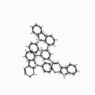 C1=Cc2c(n(-c3ccccc3)c3c(-c4cc(C5=Cc6c(oc7ccccc67)CC5)cc(-c5cccc6c7ccccc7n(-c7ccccc7)c56)n4)cccc23)CC1